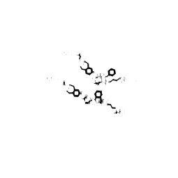 COCCN1CCc2ccc(Nc3ncc(Cl)c(NN(CCCCN(C)C)C(=O)c4ccccc4)n3)cc2CC1.COCCN1CCc2ccc(Nc3ncc(Cl)c(Nc4ccccc4C(=O)NCCCCN(C)C)n3)cc2CC1